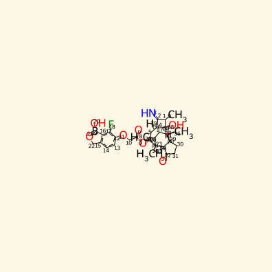 CC1C(=N)[C@@H]2C[C@@H](OC(=O)COc3ccc4c(c3F)B(O)OC4)[C@]3(C)[C@H](C)CC[C@]4(CCC(=O)[C@H]43)[C@@H](C)[C@@]12O